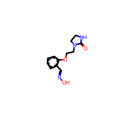 O=C1NCCN1CCOc1ccccc1/C=N/O